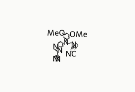 COc1cc(OC)cc(N(CCN2CCC[C@@H]2CCC#N)c2ccc3ncc(-c4cnn(C)c4)nc3c2)c1